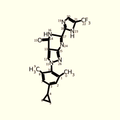 Cc1cc(C2CC2)cc(C)c1-n1cc2c(=O)[nH]c(-c3ncc(C(F)(F)F)[nH]3)nc2n1